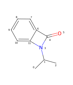 CC(C)N1C(=O)c2ccccc21